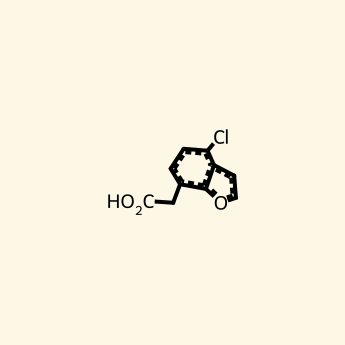 O=C(O)Cc1ccc(Cl)c2ccoc12